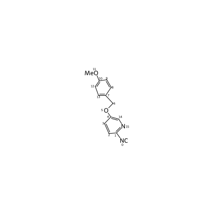 [C-]#[N+]c1ccc(OCc2ccc(OC)cc2)cn1